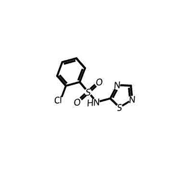 O=S(=O)(Nc1ncns1)c1ccccc1Cl